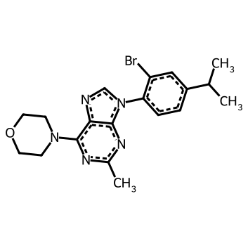 Cc1nc(N2CCOCC2)c2ncn(-c3ccc(C(C)C)cc3Br)c2n1